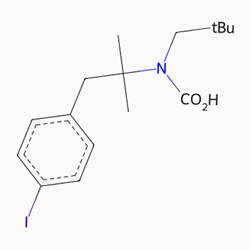 CC(C)(C)CN(C(=O)O)C(C)(C)Cc1ccc(I)cc1